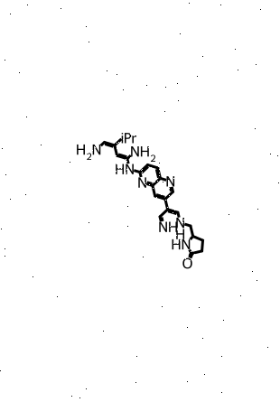 CC(C)C(=C/N)/C=C(\N)Nc1ccc2ncc(/C(C=N)=C/NCC3CCC(=O)N3)cc2n1